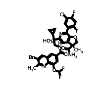 Cc1nc2c(OC(F)F)cc(C(=O)NC[C@](O)(c3cc4c(c(-c5cc(Cl)c(F)cc5F)n3)OC[C@]4(C)C(N)=O)C3CC3)cc2cc1Br